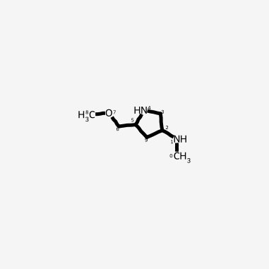 CNC1CNC(COC)C1